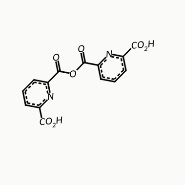 O=C(O)c1cccc(C(=O)OC(=O)c2cccc(C(=O)O)n2)n1